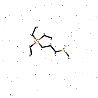 CCS(CC)(CC)CCCSC